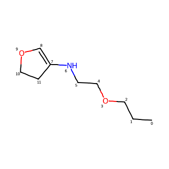 CCCOCCNC1=COCC1